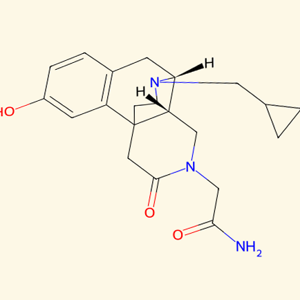 NC(=O)CN1C[C@H]2[C@H]3Cc4ccc(O)cc4C2(CCN3CC2CC2)CC1=O